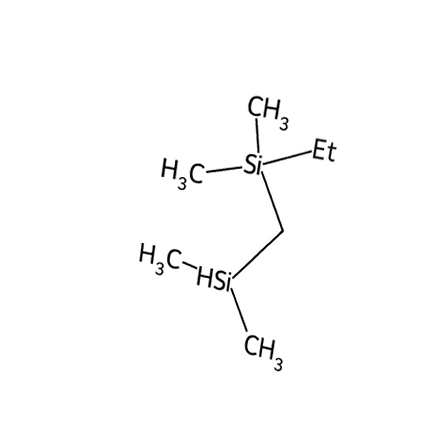 CC[Si](C)(C)C[SiH](C)C